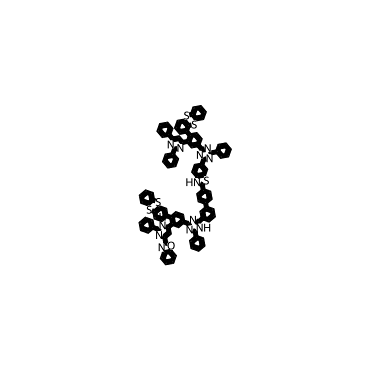 C1=C(c2nc3ccccc3o2)N=C(c2ccccc2)NC1c1cc(C2=NC(c3ccccc3)NC(c3cccc(-c4ccc(C5Nc6ccc(-c7nc(-c8ccccc8)nc(-c8ccc(-c9cccc%10c9Sc9ccccc9S%10)c(-c9cc(-c%10ccccc%10)nc(-c%10ccccc%10)n9)c8)n7)cc6S5)cc4)c3)=N2)ccc1-c1ccc2c(c1)Sc1ccccc1S2